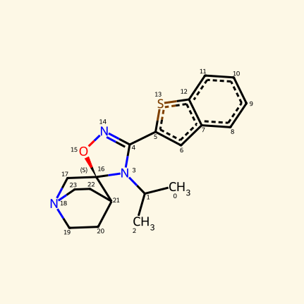 CC(C)N1C(c2cc3ccccc3s2)=NO[C@@]12CN1CCC2CC1